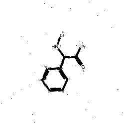 CCNC(C(=O)C(C)C)c1ccccc1